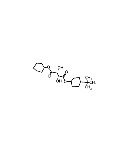 CC(C)(C)C1CCC(OC(=O)[C@@H](O)[C@@H](O)C(=O)OC2CCCCC2)CC1